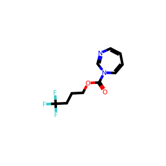 O=C(OCCCC(F)(F)F)N1C=CC=CN=C1